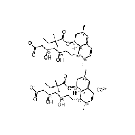 CCC(C)(C)C(=O)O[C@H]1C[C@@H](C)C=C2C=C[C@H](C)[C@H](CC[C@@H](O)C[C@@H](O)CC(=O)[O-])[C@H]21.CCC(C)(C)C(=O)O[C@H]1C[C@@H](C)C=C2C=C[C@H](C)[C@H](CC[C@@H](O)C[C@@H](O)CC(=O)[O-])[C@H]21.[Ca+2]